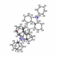 c1ccc(-c2ccc3c4c(cccc24)C24c5cccc6c5c5c(cccc5n6-c5ccccc5)C32c2cccc3c2c2c4cccc2n3-c2ccccc2)cc1